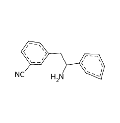 N#Cc1cccc(CC(N)c2ccccc2)c1